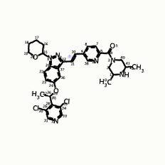 CC1CN(C(=O)c2ccc(/C=C/c3nn(C4CCCCO4)c4ccc(O[C@H](C)c5c(Cl)cncc5Cl)cc34)cn2)CC(C)N1